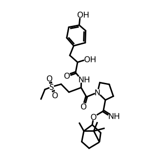 CCS(=O)(=O)CCC(NC(=O)C(O)Cc1ccc(O)cc1)C(=O)N1CCCC1C(=N)OC1CC2CCC1(C)C2(C)C